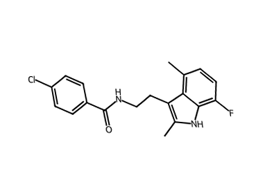 Cc1[nH]c2c(F)ccc(C)c2c1CCNC(=O)c1ccc(Cl)cc1